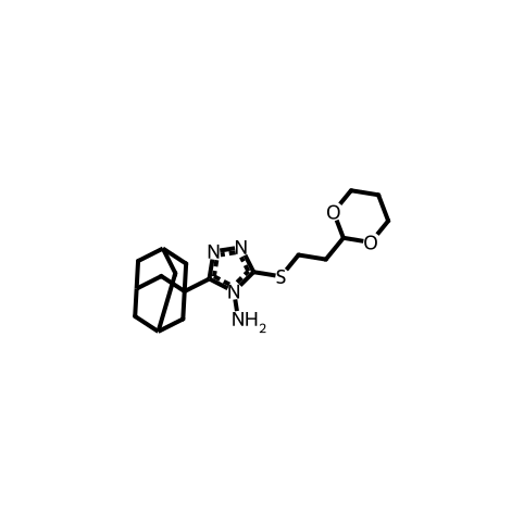 Nn1c(SCCC2OCCCO2)nnc1C12CC3CC(CC(C3)C1)C2